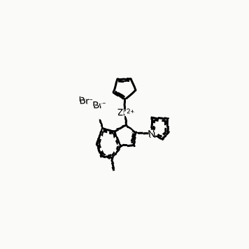 Cc1ccc(C)c2c1C=C(n1cccc1)[CH]2[Zr+2][C]1=CC=CC1.[Br-].[Br-]